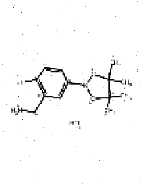 CC1(C)OB(c2ccc(F)c(CN)c2)OC1(C)C.Cl